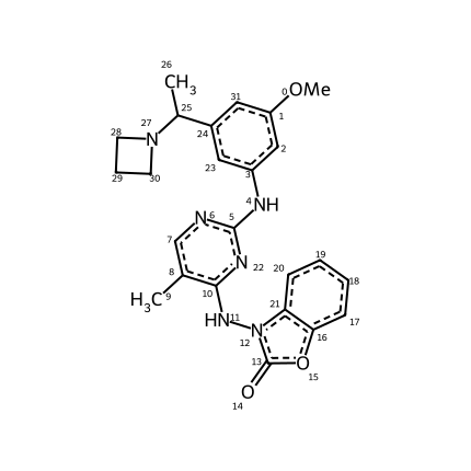 COc1cc(Nc2ncc(C)c(Nn3c(=O)oc4ccccc43)n2)cc(C(C)N2CCC2)c1